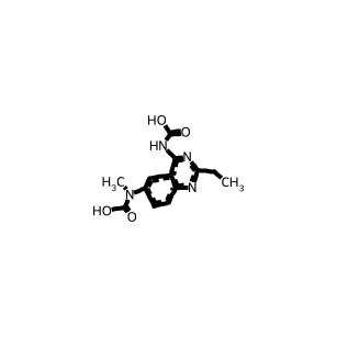 CCc1nc(NC(=O)O)c2cc(N(C)C(=O)O)ccc2n1